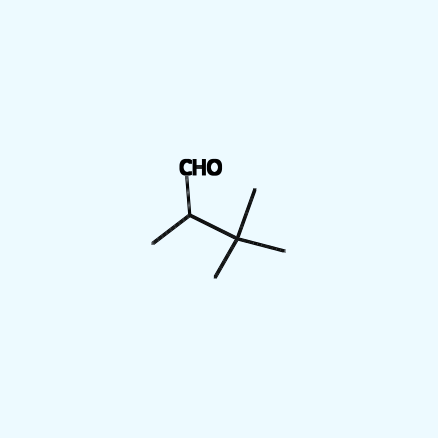 CC(C=O)C(C)(C)C